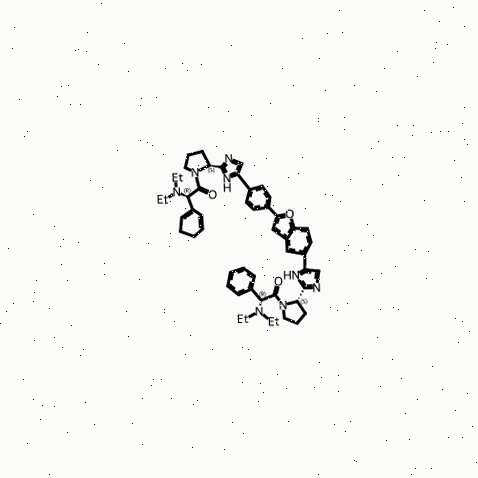 CCN(CC)[C@@H](C(=O)N1CCC[C@H]1c1ncc(-c2ccc(-c3cc4cc(-c5cnc([C@@H]6CCCN6C(=O)[C@@H](c6ccccc6)N(CC)CC)[nH]5)ccc4o3)cc2)[nH]1)C1=CCCC=C1